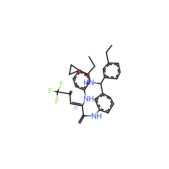 C=C(Nc1cccc(C(NCC2CC2)c2cccc(CC)c2)c1)/C(=C/C(=C)C(F)(F)F)Nc1cccc(CC)c1